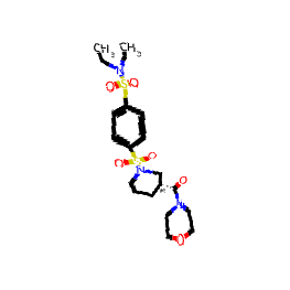 CCN(CC)S(=O)(=O)c1ccc(S(=O)(=O)N2CCC[C@@H](C(=O)N3CCOCC3)C2)cc1